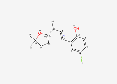 CC(/C=C/c1cc(F)ccc1O)[C@@H]1CCC(C)(C)O1